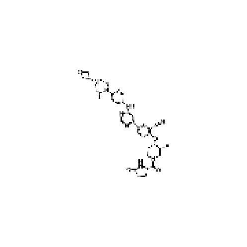 C[C@H]1CN(C2COC2)CCN1c1ccc(Nc2ncnc(-c3ccc(O[C@H]4CCN(C(=O)[C@@H]5CCC(=O)N5)C[C@H]4F)c(C#N)c3)n2)cc1